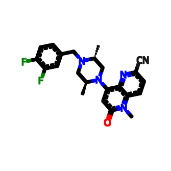 C[C@@H]1CN(c2cc(=O)n(C)c3ccc(C#N)nc23)[C@@H](C)CN1Cc1ccc(F)c(F)c1